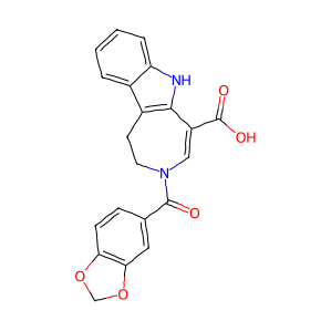 O=C(O)C1=CN(C(=O)c2ccc3c(c2)OCO3)CCc2c1[nH]c1ccccc21